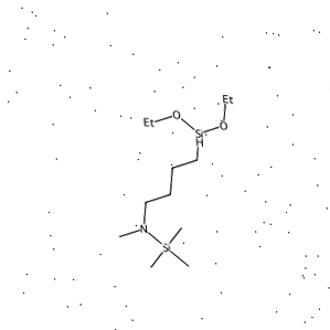 CCO[SiH](CCCCN(C)[Si](C)(C)C)OCC